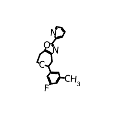 Cc1cc(F)cc(C2CCCc3oc(-c4ccccn4)nc3C2)c1